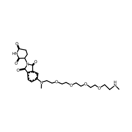 CNCCOCCOCCOCCOCCN(C)c1ccc2c(c1)C(=O)N(C1CCC(=O)NC1=O)C2=O